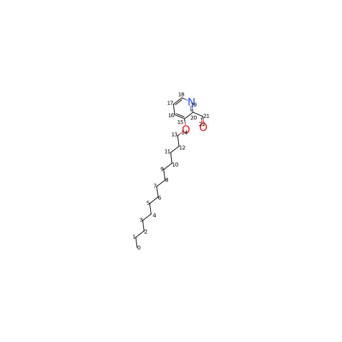 CCCCCCCCCCCCCCOc1cccnc1C=O